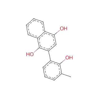 Cc1cccc(-c2cc(O)c3ccccc3c2O)c1O